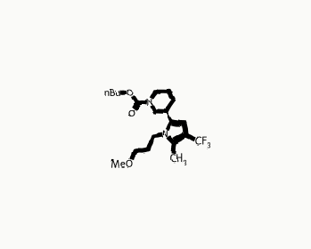 CCCCOC(=O)N1CCC[C@@H](c2cc(C(F)(F)F)c(C)n2CCCOC)C1